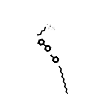 CCCCCCCCCCCCOc1ccc(C(=O)Oc2ccc(-c3ccc(O[C@@H](C)CCCC[Si](C)(C)O[Si](C)(C)C)c(F)c3)cc2)cc1